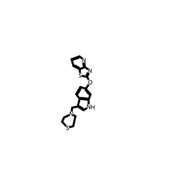 c1cnc2nc(Oc3ccc4c(CN5CCSCC5)c[nH]c4c3)sc2c1